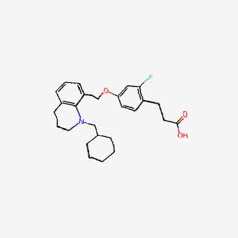 O=C(O)CCc1ccc(OCc2cccc3c2N(CC2CCCCC2)CCC3)cc1F